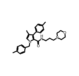 Cc1ccc(Cn2cc(C)c(-c3ccc(C)cc3)c2C(=O)NCCCN2CCOCC2)cc1